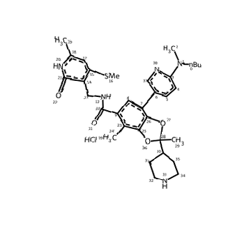 CCCCN(C)c1ccc(-c2cc(C(=O)NCc3c(SC)cc(C)[nH]c3=O)c(C)c3c2OC(C)(C2CCNCC2)O3)cn1.Cl